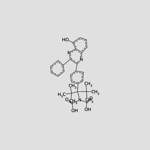 CC(C)(C)C(c1ccc(-c2nc3cccc(O)c3nc2-c2ccccc2)cc1)(N(C(=O)O)C(=O)O)C(C)(C)C